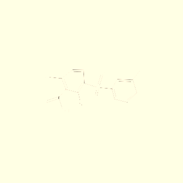 Cc1cccc(S(=O)(=O)c2ccc(Cl)c(C(=O)O)c2N)c1